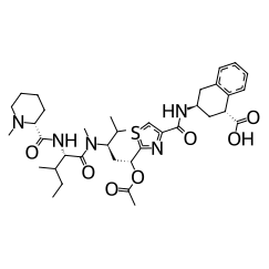 CCC(C)[C@H](NC(=O)[C@H]1CCCCN1C)C(=O)N(C)[C@H](C[C@@H](OC(C)=O)c1nc(C(=O)N[C@H]2Cc3ccccc3[C@H](C(=O)O)C2)cs1)C(C)C